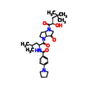 CC(C)CC(NC(=O)c1ccc(N2CCCC2)cc1)C(=O)N1CCC2C1C(=O)CN2C(=O)C(O)CC(C)(C)C